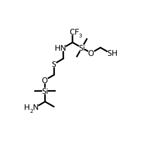 CC(N)[Si](C)(C)OCSCNC(C(F)(F)F)[Si](C)(C)OCS